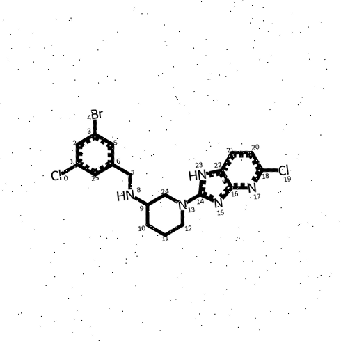 Clc1cc(Br)cc(CNC2CCCN(c3nc4nc(Cl)ccc4[nH]3)C2)c1